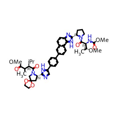 COC(=O)N[C@H](C(=O)N1CCC[C@H]1c1nc2ccc3cc(-c4ccc(-c5cnc([C@@H]6CC7(CN6C(=O)[C@H](C(C)C)C(C)C(=O)OC)OCCO7)[nH]5)cc4)ccc3c2[nH]1)[C@@H](C)OC